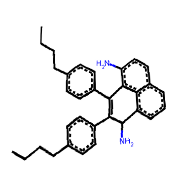 CCCCc1ccc(C2=C(c3ccc(CCCC)cc3)C(N)c3cccc4ccc(N)c2c34)cc1